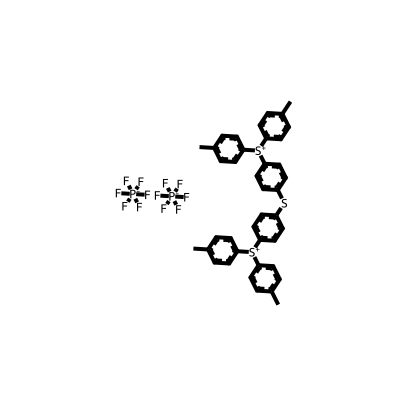 Cc1ccc([S+](c2ccc(C)cc2)c2ccc(Sc3ccc([S+](c4ccc(C)cc4)c4ccc(C)cc4)cc3)cc2)cc1.F[P-](F)(F)(F)(F)F.F[P-](F)(F)(F)(F)F